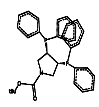 CC(C)(C)OC(=O)N1C[C@@H](P(c2ccccc2)c2ccccc2)[C@H](P(c2ccccc2)c2ccccc2)C1